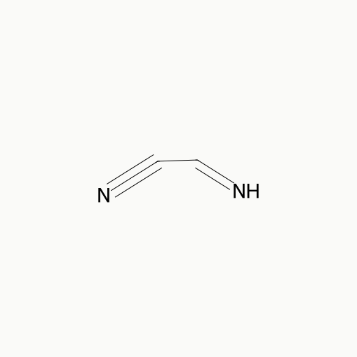 N#CC=N